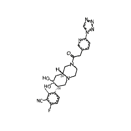 Cc1c([C@H]2CN3CCN(C(=O)Cc4ccc(-n5cnnn5)nc4)C[C@H]3CS2(O)O)ccc(F)c1C#N